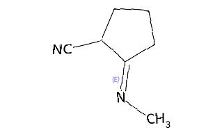 C/N=C1\CCCC1C#N